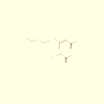 CC(=O)C=C(C)C.CC(=O)CO.CCOCC